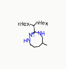 CCCCCCC(CCCCCC)/C1=N/NCCCC(C)CN1